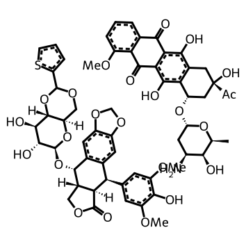 COc1cc([C@@H]2c3cc4c(cc3[C@@H](O[C@@H]3O[C@@H]5COC(c6cccs6)O[C@H]5[C@H](O)[C@H]3O)[C@H]3COC(=O)[C@H]23)OCO4)cc(OC)c1O.COc1cccc2c1C(=O)c1c(O)c3c(c(O)c1C2=O)C[C@@](O)(C(C)=O)C[C@@H]3O[C@H]1C[C@H](N)[C@H](O)[C@H](C)O1